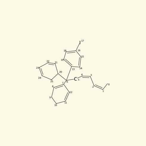 C/C=C\C=C/CC(C1=CCCC=C1)(c1ccc(I)cc1)C1C=CC=CC1